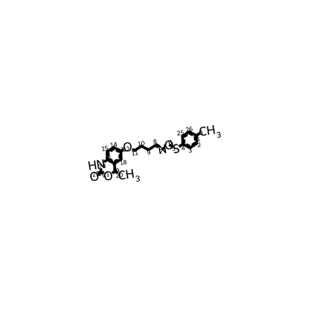 Cc1ccc(SON=CCCCOc2ccc3c(c2)C(C)OC(=O)N3)cc1